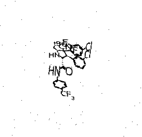 CC(C)(C)C[C@@H]1N[C@@H](C(=O)Nc2ccc(C(F)(F)F)cc2)[C@H](c2cccc(Cl)c2F)[C@@]1(C#N)c1ccc(Cl)cc1F